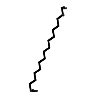 CCCCCCCCCCCCCCCCCCCCCC[CH]OCCCC